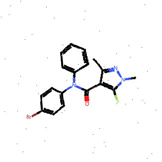 Cc1nn(C)c(F)c1C(=O)N(c1ccccc1)c1ccc(Br)cc1